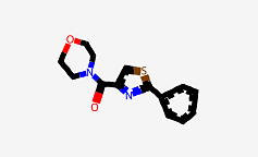 O=C(c1csc(-c2cc[c]cc2)n1)N1CCOCC1